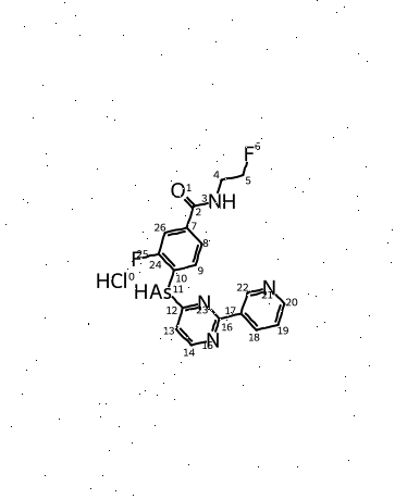 Cl.O=C(NCCF)c1ccc([AsH]c2ccnc(-c3cccnc3)n2)c(F)c1